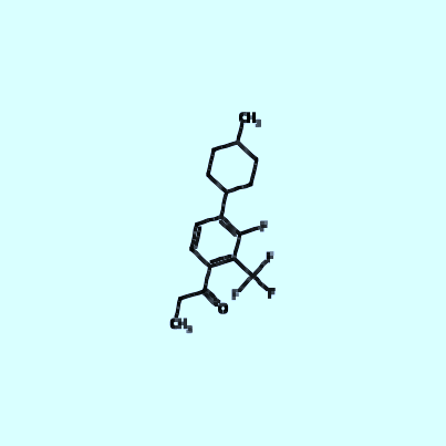 CCC(=O)c1ccc(C2CCC(C)CC2)c(F)c1C(F)(F)F